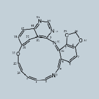 C1=C\C=N/C=c2/ccc3c(/c2=N/c2ncnc4ccc(cc24)O\C=C/1)OCO3